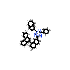 c1ccc(-c2nc(-c3ccc4ccccc4c3)nc(-c3ccc4cccc(-c5cc6ccccc6c6ccccc56)c4c3)n2)cc1